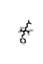 CC(C)CCC/C(C(=O)O)=C(/CCN1CCOCC1)C(=O)O